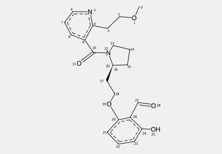 COCCc1ncccc1C(=O)N1CCC[C@H]1CCOc1cccc(O)c1C=O